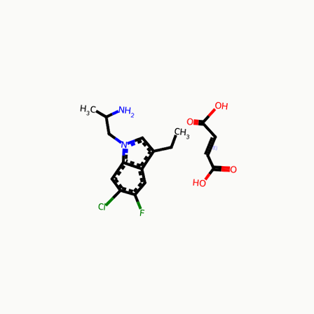 CCc1cn(CC(C)N)c2cc(Cl)c(F)cc12.O=C(O)/C=C/C(=O)O